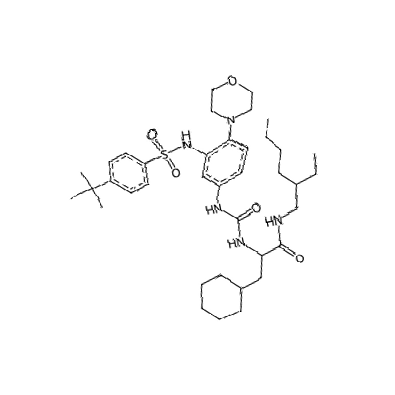 CCCCC(CC)CNC(=O)C(CC1CCCCC1)NC(=O)Nc1ccc(N2CCOCC2)c(NS(=O)(=O)c2ccc(C(C)(C)C)cc2)c1